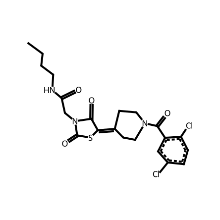 CCCCNC(=O)CN1C(=O)SC(=C2CCN(C(=O)c3cc(Cl)ccc3Cl)CC2)C1=O